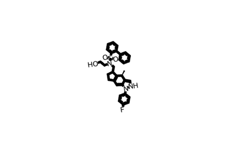 C[C@H]1C2=CNN(c3ccc(F)cc3)C2=CC2=C1C(CN(CCO)S(=O)(=O)c1ccccc1-c1ccccc1)CC2